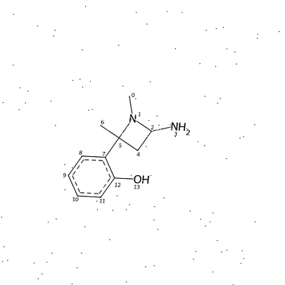 CN1C(N)CC1(C)c1ccccc1O